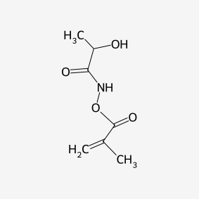 C=C(C)C(=O)ONC(=O)C(C)O